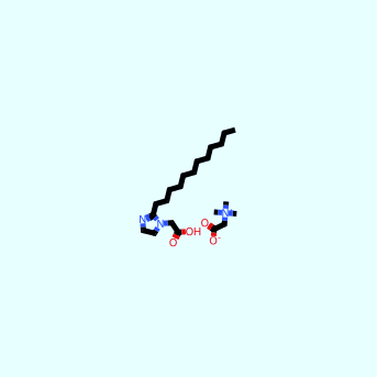 CCCCCCCCCCCCC1=NCCN1CC(=O)O.C[N+](C)(C)CC(=O)[O-]